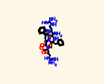 N=C(N)NCCC[C@H](NC(=O)[C@H](Cc1c[nH]c2ccccc12)NC(=O)[C@H](Cc1ccccc1)NC(=O)[C@@H](N)CCCNC(=N)N)C(=O)O